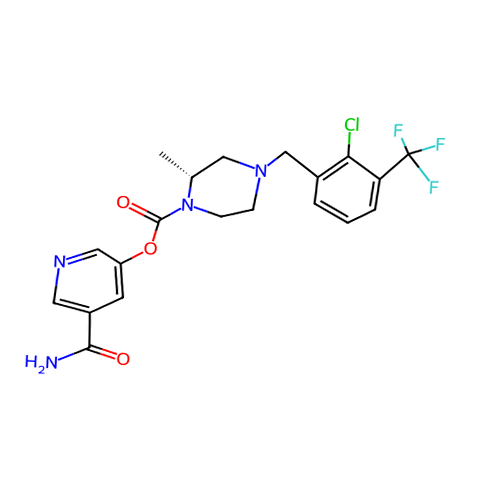 C[C@@H]1CN(Cc2cccc(C(F)(F)F)c2Cl)CCN1C(=O)Oc1cncc(C(N)=O)c1